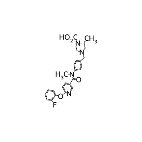 C[C@H]1CN(Cc2ccc(N(C)C(=O)c3ccc(Oc4ccccc4F)nc3)cc2)CCN1C(=O)O